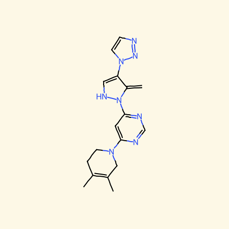 C=C1C(n2ccnn2)=CNN1c1cc(N2CCC(C)=C(C)C2)ncn1